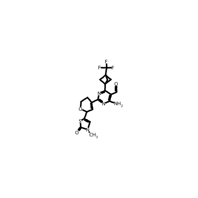 Cn1cc(C2C=C(c3nc(N)c(C=O)c(C45CC(C(F)(F)F)(C4)C5)n3)CCO2)sc1=O